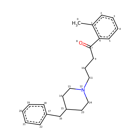 Cc1ccccc1C(=O)CCCN1CCC(Cc2ccccc2)CC1